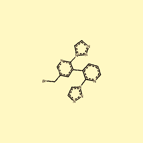 BrCc1cnc(-n2ccnn2)c(-c2cccnc2-n2ccnn2)c1